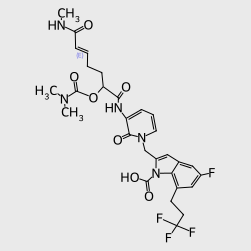 CNC(=O)/C=C/CCC(OC(=O)N(C)C)C(=O)Nc1cccn(Cc2cc3cc(F)cc(CCC(F)(F)F)c3n2C(=O)O)c1=O